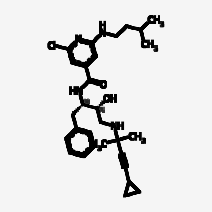 CC(C)CCNc1cc(C(=O)N[C@@H](Cc2ccccc2)[C@H](O)CNC(C)(C)C#CC2CC2)cc(Cl)n1